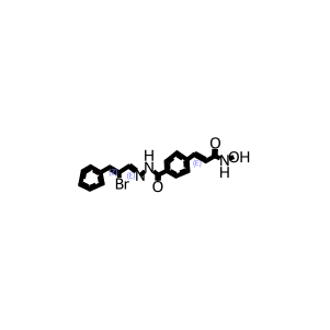 O=C(/C=C/c1ccc(C(=O)N/N=C/C(Br)=C/c2ccccc2)cc1)NO